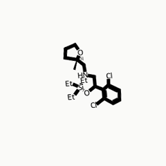 CC[Si](CC)(CC)OC(CNC[C@]1(C)CCCO1)c1c(Cl)cccc1Cl